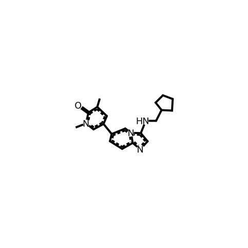 Cc1cc(-c2ccc3ncc(NCC4CCCC4)n3c2)cn(C)c1=O